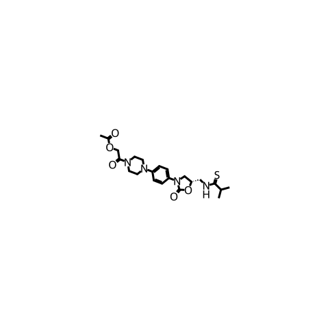 CC(=O)OCC(=O)N1CCN(c2ccc(N3C[C@H](CNC(=S)C(C)C)OC3=O)cc2)CC1